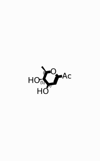 CC(=O)C1=C[C@@H](O)[C@H](O)[C@@H](C)O1